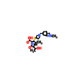 CNCc1ccc(CN2CC[C@@H](SC3=C(C(=O)O)N4C(=O)[C@H](C(C)O)[C@H]4[C@H]3C)C2)cc1